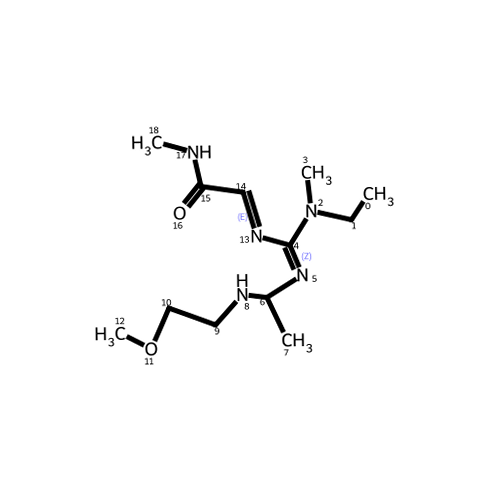 CCN(C)C(=N/C(C)NCCOC)/N=C/C(=O)NC